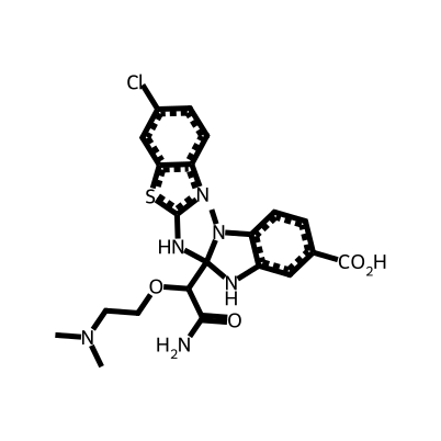 CN(C)CCOC(C(N)=O)C1(Nc2nc3ccc(Cl)cc3s2)Nc2cc(C(=O)O)ccc2N1C